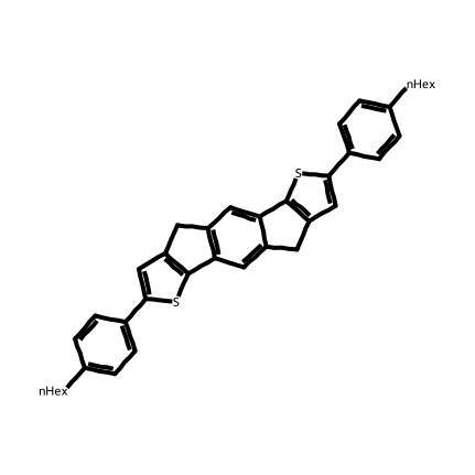 CCCCCCc1ccc(-c2cc3c(s2)-c2cc4c(cc2C3)-c2sc(-c3ccc(CCCCCC)cc3)cc2C4)cc1